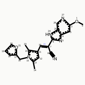 COc1cc2nc(/C(C#N)=C/c3cc(C)n(Cc4ccco4)c3C)[nH]c2cn1